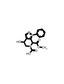 COC(=O)C1c2c(cnn2-c2ccccc2)C(O)CN1C(=O)O